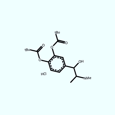 CNC(C)C(O)c1ccc(OC(=O)C(C)(C)C)c(OC(=O)C(C)(C)C)c1.Cl